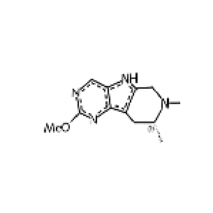 COc1ncc2[nH]c3c(c2n1)C[C@@H](C)N(C)C3